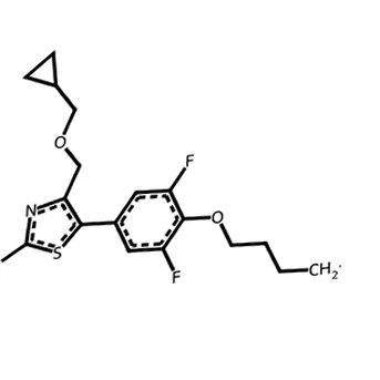 [CH2]CCCOc1c(F)cc(-c2sc(C)nc2COCC2CC2)cc1F